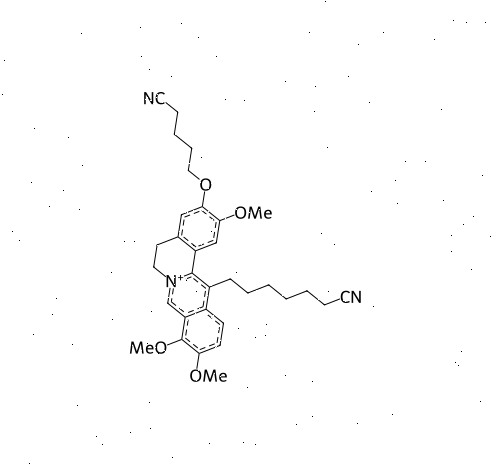 COc1cc2c(cc1OCCCCC#N)CC[n+]1cc3c(OC)c(OC)ccc3c(CCCCCCC#N)c1-2